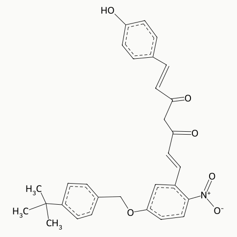 CC(C)(C)c1ccc(COc2ccc([N+](=O)[O-])c(C=CC(=O)CC(=O)C=Cc3ccc(O)cc3)c2)cc1